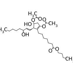 CCCCC[C@H](O)/C=C/[C@@H]1C(CCCCCCC(=O)OCCCC)=C(OC(C)=O)C[C@]1(O)OC(C)=O